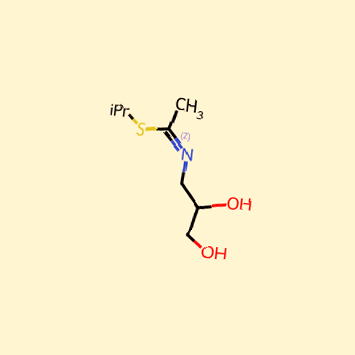 C/C(=N/CC(O)CO)SC(C)C